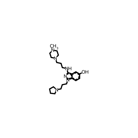 CN1CCN(CCCNc2nn(CCCN3CCCC3)c3ccc(O)cc23)CC1